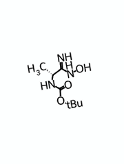 C[C@@H](NC(=O)OC(C)(C)C)C(=N)NO